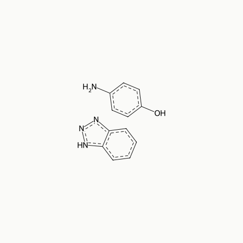 Nc1ccc(O)cc1.c1ccc2[nH]nnc2c1